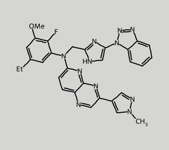 CCc1cc(OC)c(F)c(N(Cc2nc(-n3nnc4ccccc43)c[nH]2)c2ccc3ncc(-c4cnn(C)c4)nc3n2)c1